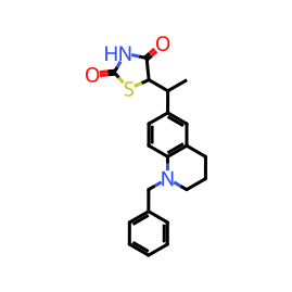 CC(c1ccc2c(c1)CCCN2Cc1ccccc1)C1SC(=O)NC1=O